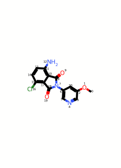 COc1cncc(N2C(=O)c3c(N)ccc(Cl)c3C2=O)c1